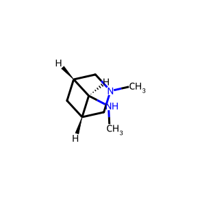 CN[C@@H]1[C@@H]2C[C@H]1CN(C)C2